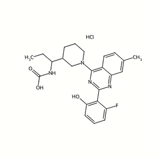 CCC(NC(=O)O)C1CCCN(c2nc(-c3c(O)cccc3F)nc3cc(C)ccc23)C1.Cl